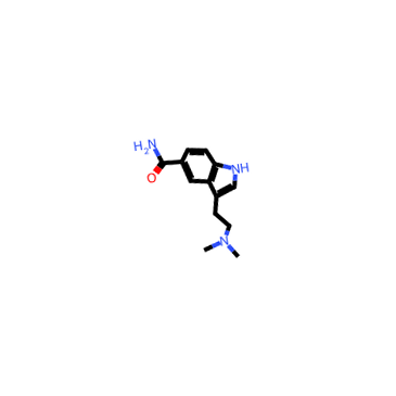 CN(C)CCc1c[nH]c2ccc(C(N)=O)cc12